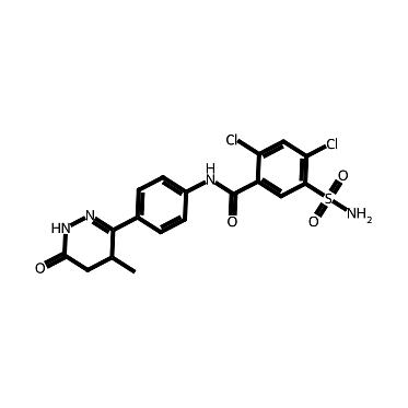 CC1CC(=O)NN=C1c1ccc(NC(=O)c2cc(S(N)(=O)=O)c(Cl)cc2Cl)cc1